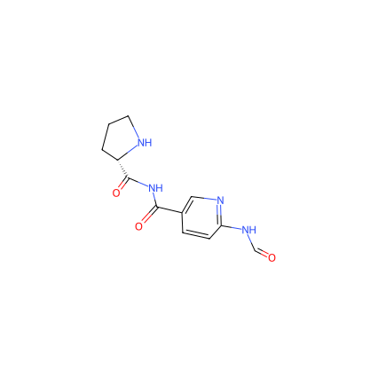 O=CNc1ccc(C(=O)NC(=O)[C@@H]2CCCN2)cn1